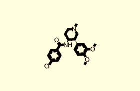 COc1ccc([C@H]2CN(C)CC[C@H]2NC(=O)c2ccc(Cl)cc2)cc1OC